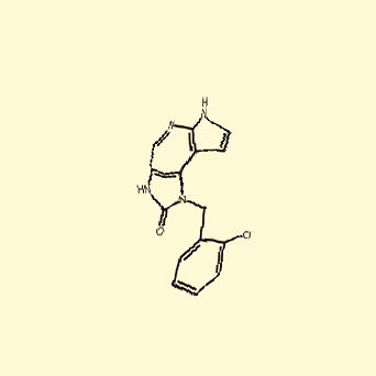 O=c1[nH]c2cnc3[nH]ccc3c2n1Cc1ccccc1Cl